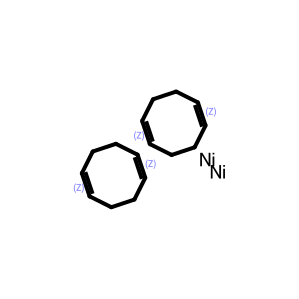 C1=C\CC/C=C\CC/1.C1=C\CC/C=C\CC/1.[Ni].[Ni]